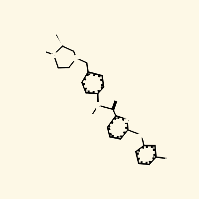 C[C@H]1CN(Cc2ccc(N(C)C(=O)c3cccc(Oc4cccc(F)c4)n3)cc2)CCN1C(=O)O